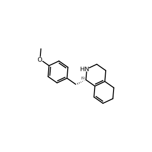 COc1ccc(C[C@@H]2NCCC3=C2C=CCC3)cc1